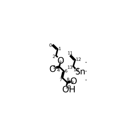 C=CCOC(=O)C=CC(=O)O.C=C[CH2][Sn]